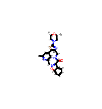 Cc1cc(-c2sc(N3C[C@@H](C)O[C@@H](C)C3)nc2CNC(=O)c2noc3ccccc23)cc(C)n1